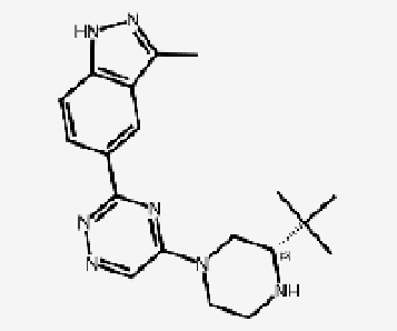 Cc1n[nH]c2ccc(-c3nncc(N4CCN[C@@H](C(C)(C)C)C4)n3)cc12